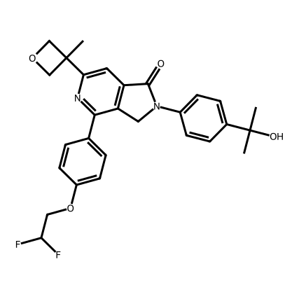 CC(C)(O)c1ccc(N2Cc3c(cc(C4(C)COC4)nc3-c3ccc(OCC(F)F)cc3)C2=O)cc1